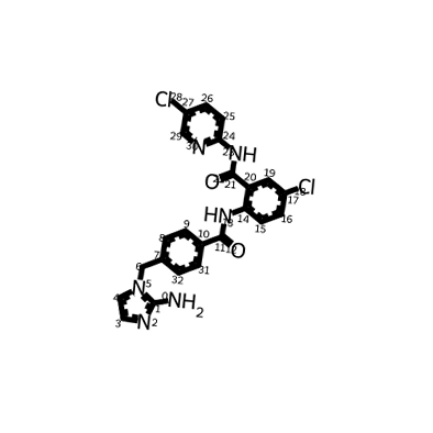 Nc1nccn1Cc1ccc(C(=O)Nc2ccc(Cl)cc2C(=O)Nc2ccc(Cl)cn2)cc1